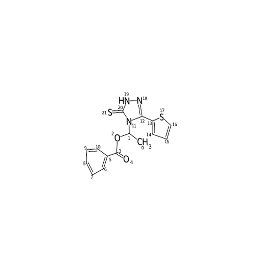 CC(OC(=O)c1ccccc1)n1c(-c2cccs2)n[nH]c1=S